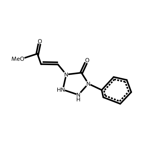 COC(=O)/C=C/N1NNN(c2ccccc2)C1=O